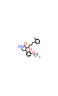 Cc1ccccc1CCCC(=O)C1C(=O)NCCC1c1cccc(OC(F)(F)F)c1